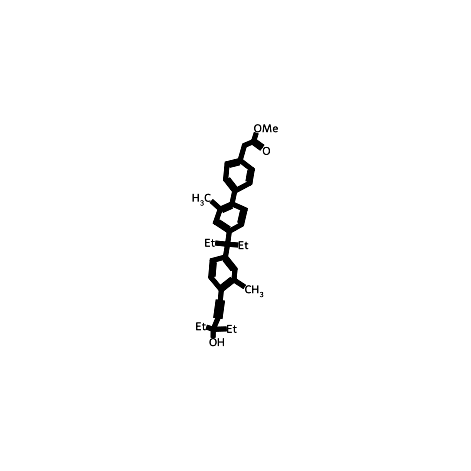 CCC(O)(C#Cc1ccc(C(CC)(CC)c2ccc(-c3ccc(CC(=O)OC)cc3)c(C)c2)cc1C)CC